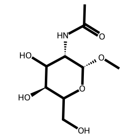 CO[C@@H]1OC(CO)[C@@H](O)C(O)[C@@H]1NC(C)=O